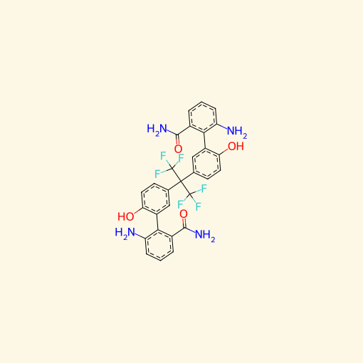 NC(=O)c1cccc(N)c1-c1cc(C(c2ccc(O)c(-c3c(N)cccc3C(N)=O)c2)(C(F)(F)F)C(F)(F)F)ccc1O